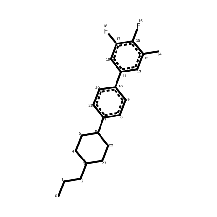 CCCC1CCC(c2ccc(-c3cc(C)c(F)c(F)c3)cc2)CC1